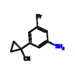 CC(C)c1cc(N)cc(C2(C#N)CC2)c1